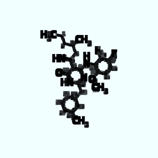 CCCC(C)CC(=N)c1c(Nc2c(OC)ccc(F)c2F)nc(Cc2cccc(C)c2)[nH]c1=O